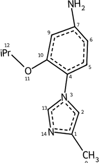 Cc1cn(-c2ccc(N)cc2OC(C)C)cn1